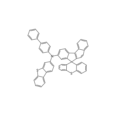 c1ccc(-c2ccc(N(c3ccc4c(c3)C3(c5ccccc5Sc5ccccc53)c3ccc5ccccc5c3-4)c3ccc4c(c3)sc3ccccc34)cc2)cc1